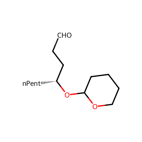 CCCCC[C@H](CCC=O)OC1CCCCO1